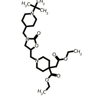 CCOC(=O)CC1(C(=O)OCC)CCN(CC2CN(CC3CCN(C(C)(C)C)CC3)C(=O)O2)CC1